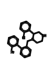 CC(C)c1ccccc1-c1ccccc1CN1CCNCC1c1ccccc1Cl